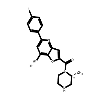 CC(C)c1cc(-c2ccc(F)cc2)nc2cc(C(=O)N3CCNC[C@H]3C)oc12.Cl